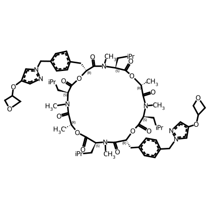 CC(C)C[C@H]1C(=O)O[C@H](Cc2ccc(Cn3cc(OC4COC4)cn3)cc2)C(=O)N(C)[C@@H](CC(C)C)C(=O)O[C@H](C)C(=O)N(C)[C@@H](CC(C)C)C(=O)O[C@H](Cc2ccc(Cn3cc(OC4COC4)cn3)cc2)C(=O)N(C)[C@@H](CC(C)C)C(=O)O[C@H](C)C(=O)N1C